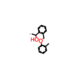 [CH2]C(O)c1ccccc1COc1ccccc1C